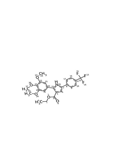 CCOC(=O)c1cc(-c2ccc(C(F)(F)F)cc2)[nH]c1-c1cc(OC)c(OC)c(OC)c1